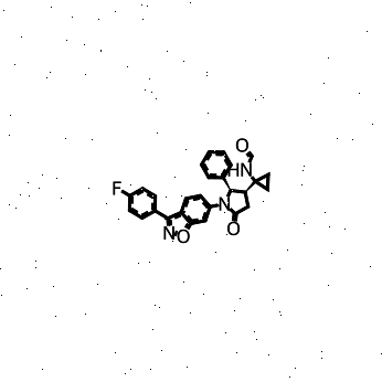 O=CNC1([C@H]2CC(=O)N(c3ccc4c(-c5ccc(F)cc5)noc4c3)[C@H]2c2ccccc2)CC1